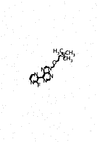 C[Si](C)(C)CCOCn1cnc2c(-c3nccnc3F)ncnc21